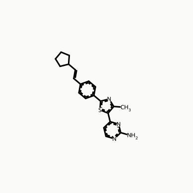 Cc1nc(-c2ccc(C=CC3CCCC3)cc2)sc1-c1ccnc(N)n1